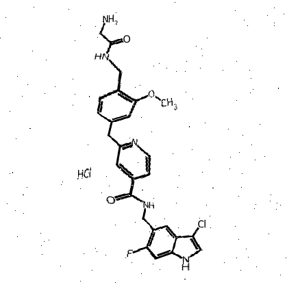 COc1cc(Cc2cc(C(=O)NCc3cc4c(Cl)c[nH]c4cc3F)ccn2)ccc1CNC(=O)CN.Cl